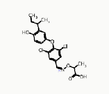 CCC(C)c1cc(Oc2c(Cl)cc(/C=N\OC(C)C(=O)O)cc2Cl)ccc1O